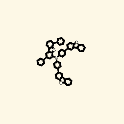 c1ccc(-c2cc(N(c3ccc(-c4ccc5oc6ccccc6c5c4)cc3)c3ccc(-c4ccc5oc6ccccc6c5c4)cc3)c3sc4c(-c5ccccc5)cccc4c3c2)cc1